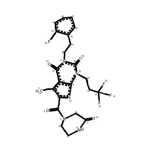 Cc1c(C(=O)N2CCNC(=O)C2)sc2c1c(=O)n(CCc1ccccc1F)c(=O)n2CCC(F)(F)F